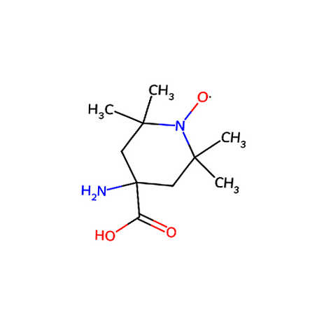 CC1(C)CC(N)(C(=O)O)CC(C)(C)N1[O]